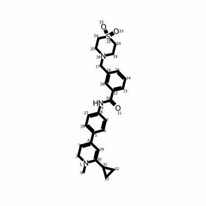 CN1CC=C(c2ccc(NC(=O)c3cccc(CN4CCS(=O)(=O)CC4)c3)cc2)C=C1C1CC1